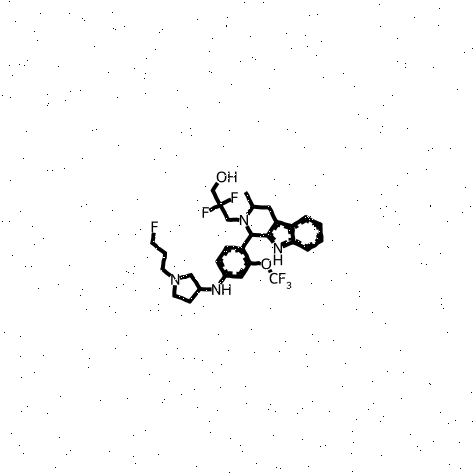 CC1Cc2c([nH]c3ccccc23)C(c2ccc(NC3CCN(CCCF)C3)cc2OC(F)(F)F)N1CC(F)(F)CO